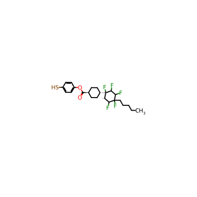 CCCCCC1(F)C(F)[CH]C(F)([C@H]2CC[C@H](C(=O)Oc3ccc(S)cc3)CC2)C(F)C1F